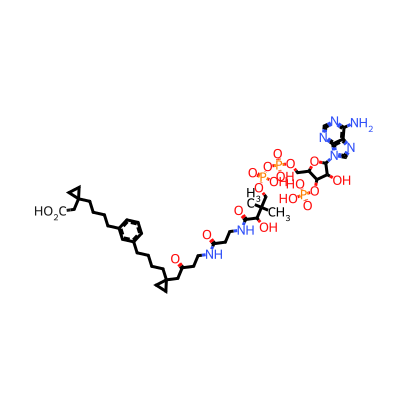 CC(C)(COP(=O)(O)OP(=O)(O)OCC1OC(n2cnc3c(N)ncnc32)C(O)C1OP(=O)(O)O)C(O)C(=O)NCCC(=O)NCCC(=O)CC1(CCCCc2cccc(CCCCC3(CC(=O)O)CC3)c2)CC1